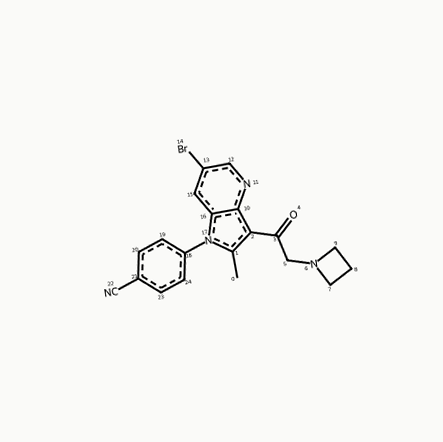 Cc1c(C(=O)CN2CCC2)c2ncc(Br)cc2n1-c1ccc(C#N)cc1